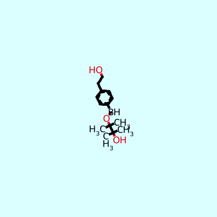 CC(C)(O)C(C)(C)OBc1ccc(CCO)cc1